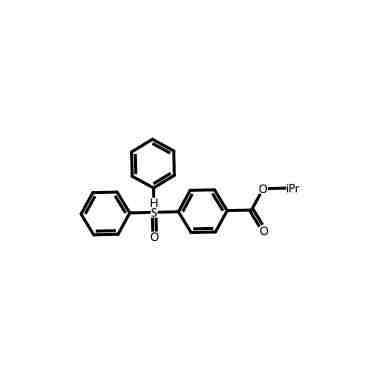 CC(C)OC(=O)c1ccc([SH](=O)(c2ccccc2)c2ccccc2)cc1